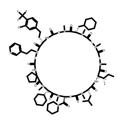 CC[C@H](C)[C@@H]1NC(=O)[C@H](CC(C)C)N(C)C(=O)C[C@@H](C(=O)N2CCCCC2)N(C)C(=O)[C@H](C2CCCCC2)N(C)C(=O)C2(CCCC2)NC(=O)CN(CCc2cccnc2)C(=O)[C@H](CCc2ccc(C(F)(F)F)c(Cl)c2)NC(=O)CN(C)C(=O)[C@H](CC2CCCCC2)N(C)C(=O)CN(C)C(=O)CN(C)C1=O